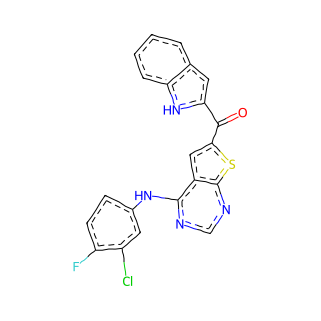 O=C(c1cc2ccccc2[nH]1)c1cc2c(Nc3ccc(F)c(Cl)c3)ncnc2s1